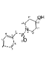 O=C(Cc1cc[c]cc1)N1CCC(O)CC1